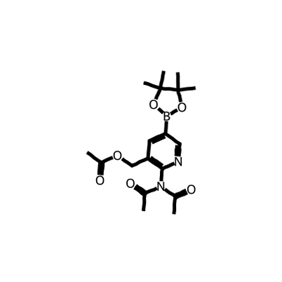 CC(=O)OCc1cc(B2OC(C)(C)C(C)(C)O2)cnc1N(C(C)=O)C(C)=O